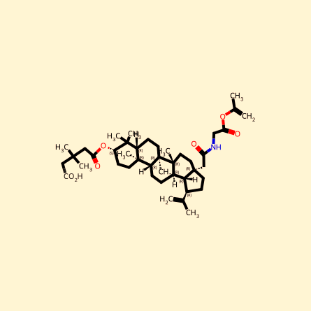 C=C(C)OC(=O)CNC(=O)C[C@]12CC[C@@H](C(=C)C)[C@@H]1[C@H]1CC[C@@H]3[C@@]4(C)CC[C@H](OC(=O)CC(C)(C)CC(=O)O)C(C)(C)[C@@H]4CC[C@@]3(C)[C@]1(C)CC2